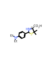 CCN(CC)c1ccc(C2N[C@@H](C(=O)O)C(C)(C)S2)cc1